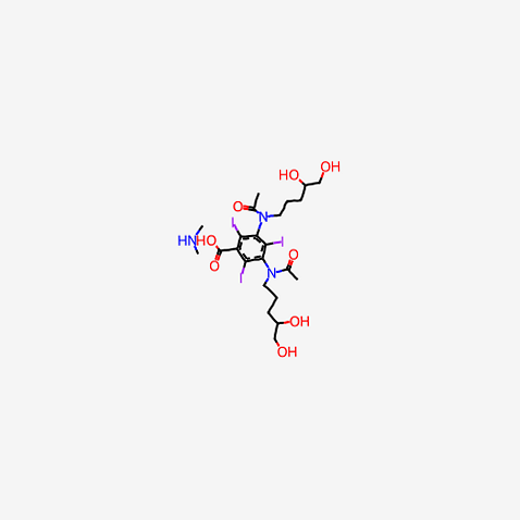 CC(=O)N(CCCC(O)CO)c1c(I)c(C(=O)O)c(I)c(N(CCCC(O)CO)C(C)=O)c1I.CNC